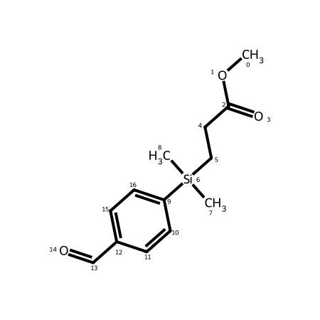 COC(=O)CC[Si](C)(C)c1ccc(C=O)cc1